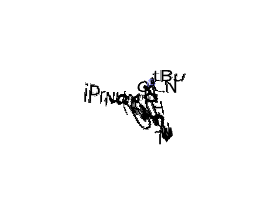 CC(C)CNCc1ccc2c(c1)nc(NC(=O)c1ccc(-n3cccn3)s1)n2C[C@H]1CCCN1C(=O)/C(C#N)=C/C(C)(C)C